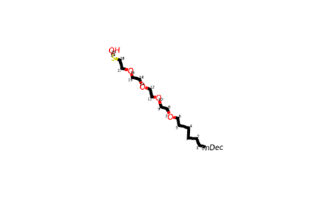 CCCCCCCCCCCCCCCCOCCOCCOCCOCCSO